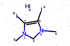 CN1CN(C)C(I)=C1I.I